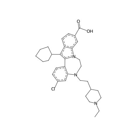 CCN1CCC(CCN2CCn3c(c(C4CCCCC4)c4ccc(C(=O)O)cc43)-c3ccc(Cl)cc32)CC1